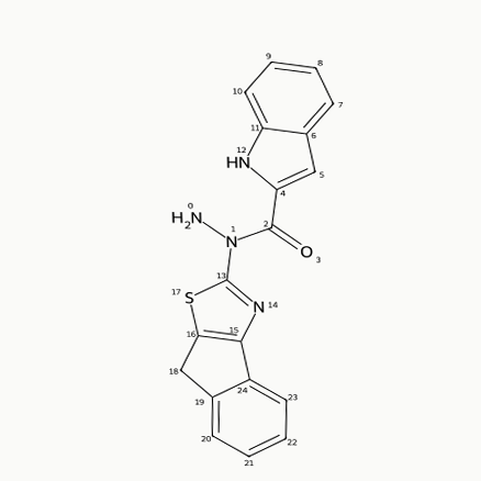 NN(C(=O)c1cc2ccccc2[nH]1)c1nc2c(s1)Cc1ccccc1-2